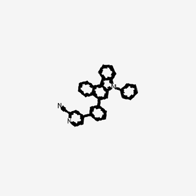 N#Cc1cc(-c2cccc(-c3cc4c(c5ccccc35)c3ccccc3n4-c3ccccc3)c2)ccn1